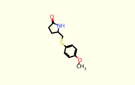 COc1ccc(SCC2CCC(=O)N2)cc1